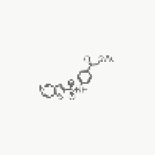 CC(=O)SCC(=O)c1ccc(NS(=O)(=O)c2cc3cnccc3s2)cc1